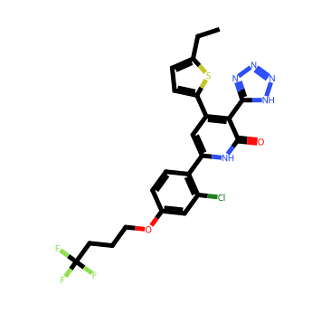 CCc1ccc(-c2cc(-c3ccc(OCCCC(F)(F)F)cc3Cl)[nH]c(=O)c2-c2nnn[nH]2)s1